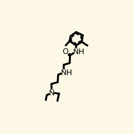 CCN(CC)CCCNCCC(=O)Nc1c(C)cccc1C